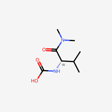 CC(C)[C@H](NC(=O)O)C(=O)N(C)C